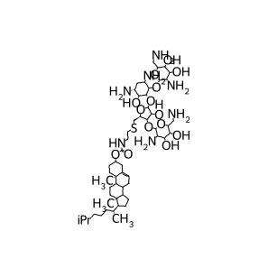 CC(C)CCC[C@@H](C)C1CCC2C3CC=C4CC(OC(=O)NCCSC[C@H]5O[C@@H](OC6C(O)[C@H](N)CC(N)[C@H]6O[C@H]6OC(CN)[C@@H](O)C(O)C6N)C(O)C5O[C@H]5OC(CN)[C@@H](O)C(O)C5N)CC[C@]4(C)C3CC[C@@]21C